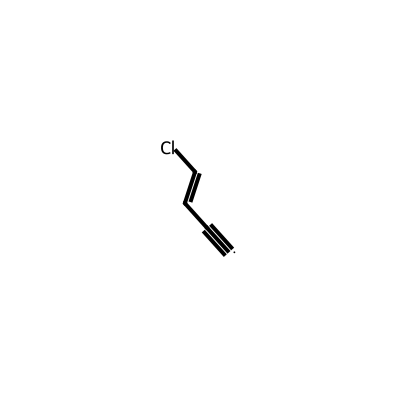 [C]#C/C=C/Cl